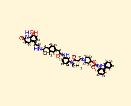 CC(Cc1ccc(CC(=O)Nc2cccc(N(C)C(=O)CCN3CCC(OC(=O)Nc4ccccc4-c4ccccc4)CC3)c2)cc1)NCCc1ccc(O)c2[nH]c(=O)ccc12